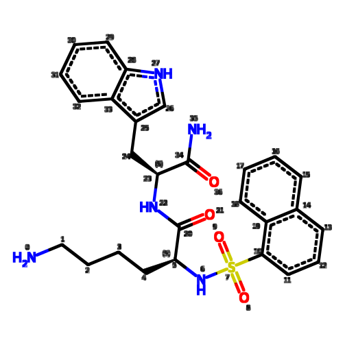 NCCCC[C@H](NS(=O)(=O)c1cccc2ccccc12)C(=O)N[C@@H](Cc1c[nH]c2ccccc12)C(N)=O